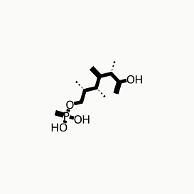 C=C(O)[C@@H](C)C(=C)[C@H](C)[C@@H](C)COP(=C)(O)O